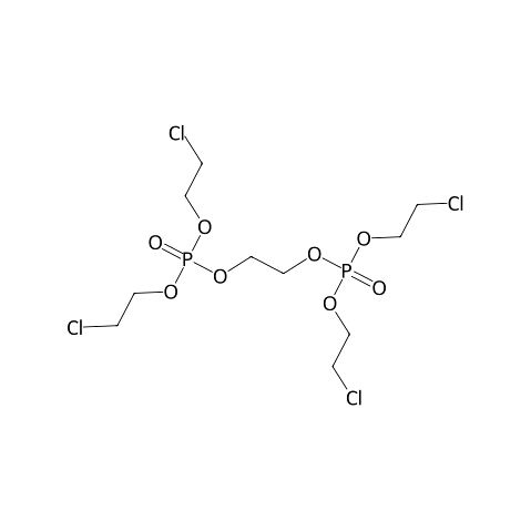 O=P(OCCCl)(OCCCl)OCCOP(=O)(OCCCl)OCCCl